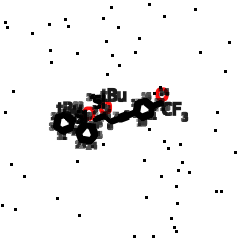 CC(C)(C)[Si](C)(C)O[C@@H](CC#Cc1ccc(C(=O)C(F)(F)F)cc1)CO[Si](c1ccccc1)(c1ccccc1)C(C)(C)C